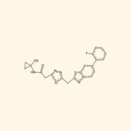 N#CC1(NC(=O)Cc2nnc(Cc3nc4ccc(-c5ccccc5F)cc4s3)o2)CC1